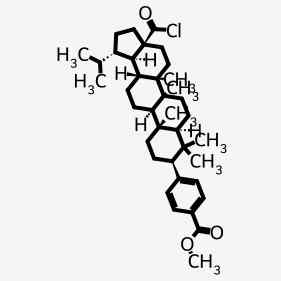 COC(=O)c1ccc([C@H]2CC[C@]3(C)[C@H]4CC[C@@H]5[C@H]6[C@H](C(C)C)CC[C@]6(C(=O)Cl)CC[C@@]5(C)[C@]4(C)CC[C@H]3C2(C)C)cc1